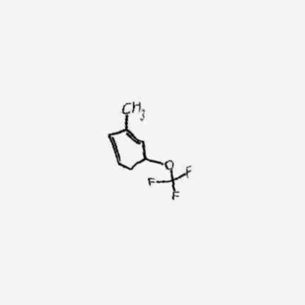 CC1=CC(OC(F)(F)F)CC=C1